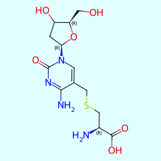 Nc1nc(=O)n([C@H]2CC(O)[C@@H](CO)O2)cc1CSC[C@H](N)C(=O)O